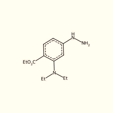 CCOC(=O)c1ccc(NN)cc1N(CC)CC